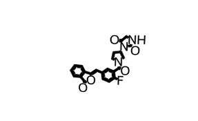 O=C1OC(=Cc2ccc(F)c(C(=O)N3CCC(N4C(=O)CNC4=O)C3)c2)c2ccccc21